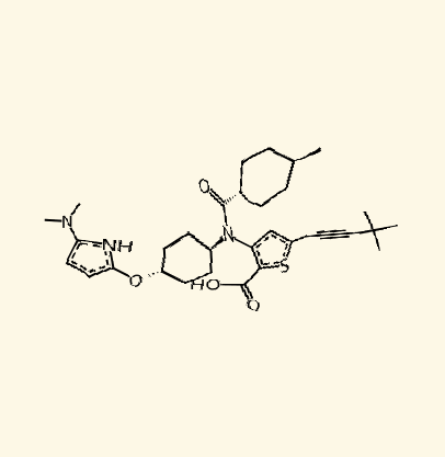 CN(C)c1ccc(O[C@H]2CC[C@H](N(c3cc(C#CC(C)(C)C)sc3C(=O)O)C(=O)[C@H]3CC[C@H](C)CC3)CC2)[nH]1